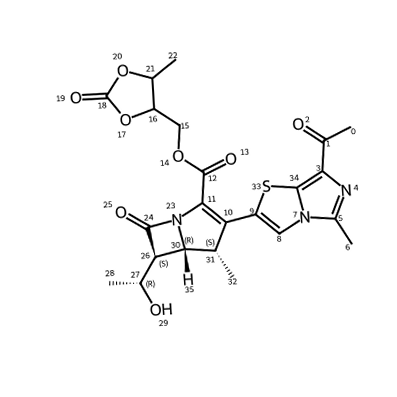 CC(=O)c1nc(C)n2cc(C3=C(C(=O)OCC4OC(=O)OC4C)N4C(=O)[C@H]([C@@H](C)O)[C@H]4[C@H]3C)sc12